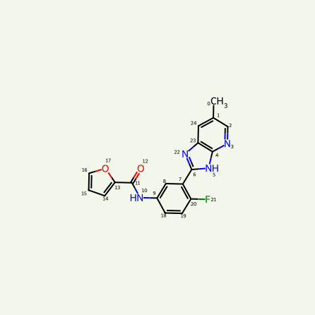 Cc1cnc2[nH]c(-c3cc(NC(=O)c4ccco4)ccc3F)nc2c1